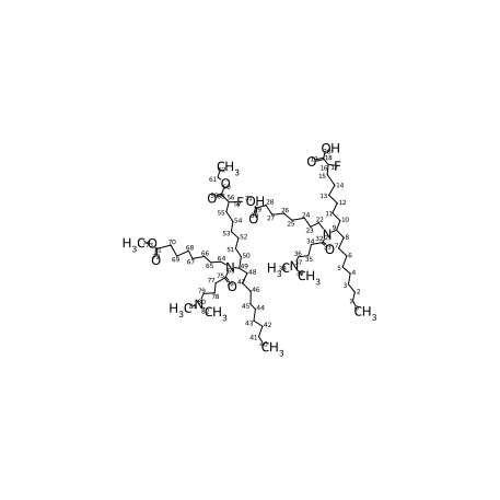 CCCCCCCCCC(CCCCCCC(F)C(=O)O)N(CCCCCCCC(=O)O)C(=O)CCCN(C)C.CCCCCCCCCC(CCCCCCC(F)C(=O)OCC)N(CCCCCCCC(=O)OC)C(=O)CCCN(C)C